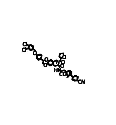 N#Cc1ccc(-c2ccc(CC(NC(=O)C3Cc4cc5c(cc4CN3C(=O)C3CCCO3)OC(c3ccc(OCc4ccc(Cl)c(Cl)c4)cc3)CO5)C(=O)O)cc2)cc1